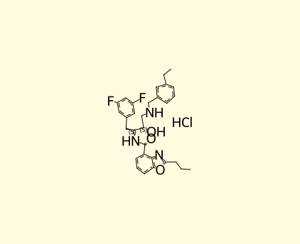 CCCc1nc2c(C(=O)N[C@@H](Cc3cc(F)cc(F)c3)[C@@H](O)CNCc3cccc(CC)c3)cccc2o1.Cl